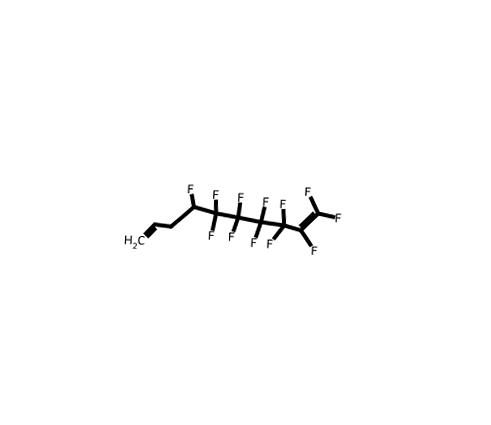 C=CCC(F)C(F)(F)C(F)(F)C(F)(F)C(F)(F)C(F)=C(F)F